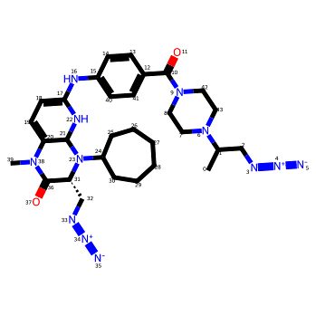 CC(CN=[N+]=[N-])N1CCN(C(=O)c2ccc(NC3=CC=C4C(N3)N(C3CCCCCC3)[C@H](CN=[N+]=[N-])C(=O)N4C)cc2)CC1